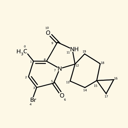 Cc1cc(Br)c(=O)n2c1C(=O)NC21CCC2(CC2)CC1